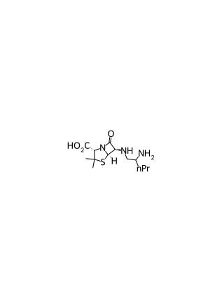 CCCC(N)CN[C@@H]1C(=O)N2[C@@H]1SC(C)(C)[C@@H]2C(=O)O